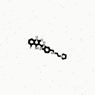 Nc1c(-c2nc3ccc(CNCCN4CCCC4)cc3[nH]2)c(=O)[nH]c2cccc(F)c12